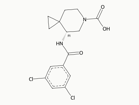 O=C(N[C@H]1CN(C(=O)O)CCC12CC2)c1cc(Cl)cc(Cl)c1